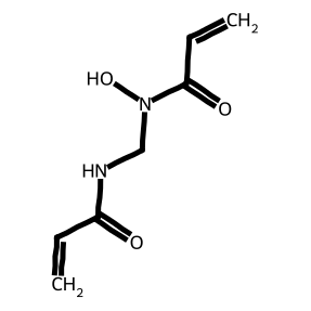 C=CC(=O)NCN(O)C(=O)C=C